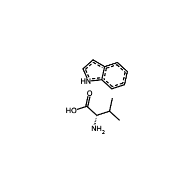 CC(C)[C@H](N)C(=O)O.c1ccc2[nH]ccc2c1